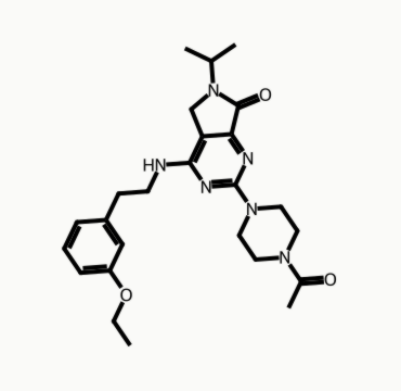 CCOc1cccc(CCNc2nc(N3CCN(C(C)=O)CC3)nc3c2CN(C(C)C)C3=O)c1